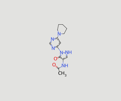 CC(=O)Nc1c[nH]n(-c2cc(N3CCCCC3)ncn2)c1=O